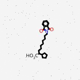 O=C(O)C(CCCCCCCCN1C(=O)c2ccccc2C1=O)C1CCCC1